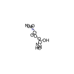 COc1cc(/C=C/C(=O)N2CCN(C)CC2)ccc1OCCOc1cc2c(cc1CO)CN1CCC[C@H]1C=N2